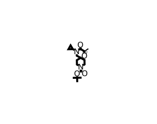 C[C@H]1OC2(CCN(C(=O)OC(C)(C)C)CC2)CN(C2CC2)C1=O